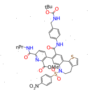 CCCNC(=O)c1ccc(-c2cc3c(cc2C(=O)Nc2ccc(CNC(=O)OC(C)(C)C)cc2)-c2sccc2CCN3S(=O)(=O)c2ccc([N+](=O)[O-])cc2)c(C(=O)OC)n1